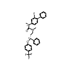 C[C@H](C(=O)N(C)CC[C@@H](Oc1ccc(C(F)(F)F)cc1)c1ccccc1)c1ccc(-c2ccccc2)c(F)c1